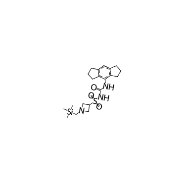 C[Si](C)(C)CN1CC(S(=O)(=O)NC(=O)Nc2c3c(cc4c2CCC4)CCC3)C1